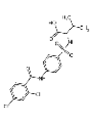 CC(C)[C@H](NS(=O)(=O)c1ccc(NC(=O)c2ccc(Cl)cc2Cl)cc1)C(=O)O